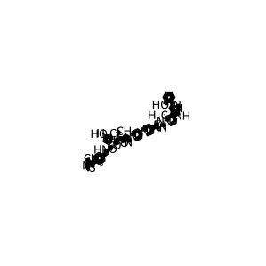 Cc1ncsc1-c1ccc(CNC(=O)[C@@H]2C[C@@H](O)CN2C(=O)[C@@H](c2cc(N3CCC(N4CCC(c5cnc(N6CCc7[nH]c8nnc(-c9ccccc9O)cc8c7[C@H]6C)nc5)CC4)CC3)no2)C(C)C)cc1